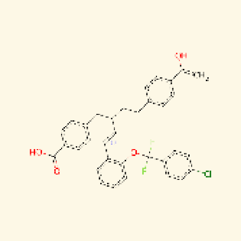 C=C(O)c1ccc(CCC(/C=C/c2ccccc2OC(F)(F)c2ccc(Cl)cc2)Cc2ccc(C(=O)O)cc2)cc1